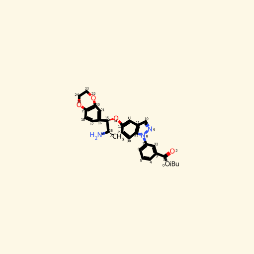 CC(C)COC(=O)c1cccc(-n2ncc3cc(O[C@H](c4ccc5c(c4)OCCO5)[C@H](C)N)ccc32)c1